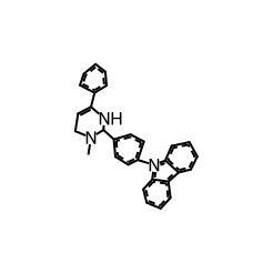 CN1CC=C(c2ccccc2)NC1c1ccc(-n2c3ccccc3c3ccccc32)cc1